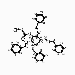 O=C(CCl)O[C@H]1[C@@H](OCc2ccccc2)[C@@H](COCc2ccccc2)O[C@@H](Sc2ccccc2)[C@@H]1OCc1ccccc1